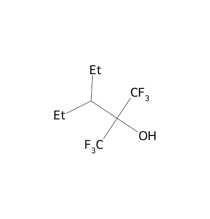 CCC(CC)C(O)(C(F)(F)F)C(F)(F)F